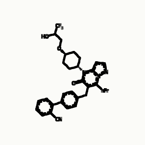 CCCc1c(Cc2ccc(-c3ccccc3C#N)cc2)c(=O)n([C@H]2CC[C@H](OCC(O)C(F)(F)F)CC2)c2ccnn12